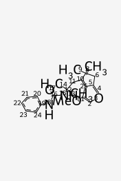 COC1=COC=C2CC(C)(C)C(CC(C)(C)NC(=O)Nc3ccccc3)=C21